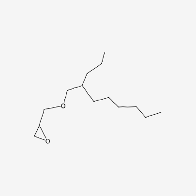 CCCCCCC(CCC)COCC1CO1